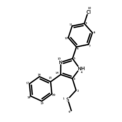 CSCc1[nH]c(-c2ccc(Cl)cc2)nc1-c1ccccc1